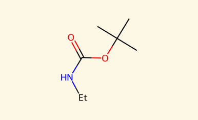 CCNC(=O)OC(C)(C)C